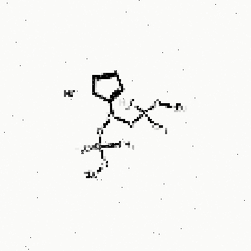 CC(C)(C)O[Si](C)(C)[O][Zr]([O][Si](C)(C)OC(C)(C)C)[C]1=CC=CC1.Cl